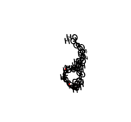 C=C1C2C[C@@H]3O[C@H]4C[C@H]5O[C@@]6(CC7O[C@]8(C[C@H](C)C9OC%10CC(C(O)CO)OC%10CC9O8)C[C@H](C)C7O6)C[C@H]5O[C@H]4[C@H](C)C3OC(=O)CC3CCC4OC5C6O[C@]7(CCC8CC(=C)[C@H](CC[C@@H](C[C@H]1C)O2)O8)C[C@H]6O[C@H]5C(O7)[C@H]4O3